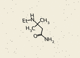 CCNC(C)(C)CC(N)=O